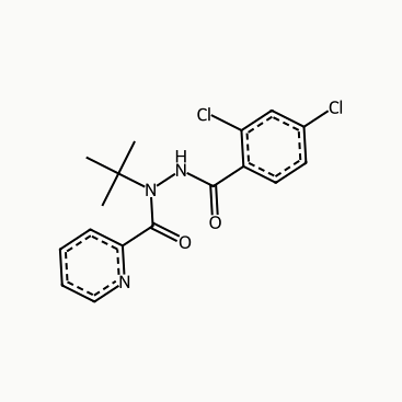 CC(C)(C)N(NC(=O)c1ccc(Cl)cc1Cl)C(=O)c1ccccn1